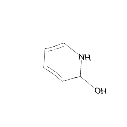 OC1C=CC=CN1